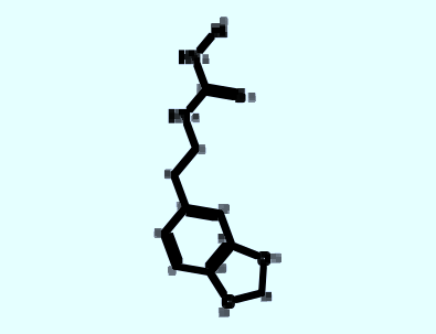 CCNC(=S)NCCc1ccc2c(c1)OCO2